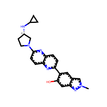 Cn1cc2cc(-c3ccc4nc(N5CC[C@H](NC6CC6)C5)ccc4n3)c(O)cc2n1